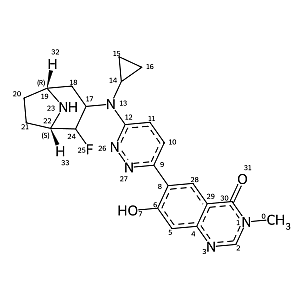 Cn1cnc2cc(O)c(-c3ccc(N(C4CC4)C4C[C@H]5CC[C@H](N5)C4F)nn3)cc2c1=O